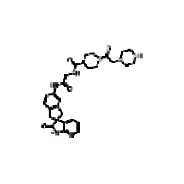 O=C(CNC(=O)C1CCN(C(=O)CN2CCNCC2)CC1)Nc1ccc2c(c1)CC1(C2)C(=O)Nc2ncccc21